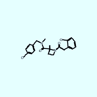 CN(Cc1ccc(Cl)cc1)C(=O)C1(C)CCN1C(=O)Cc1ccccc1Cl